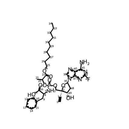 C#C[C@]1(COP(=O)(NC(Cc2ccccc2)C(=O)O)OC(C)C(=O)OCCCCCCCCCC)O[C@@H](n2cnc3c(N)nc(F)nc32)C[C@@H]1O